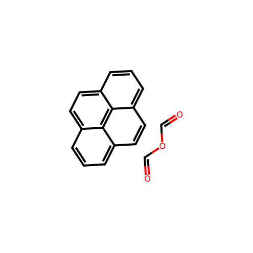 O=COC=O.c1cc2ccc3cccc4ccc(c1)c2c34